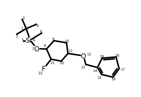 CC(C)(C)[Si](C)(C)OC1CCC(OCc2ccccc2)CC1F